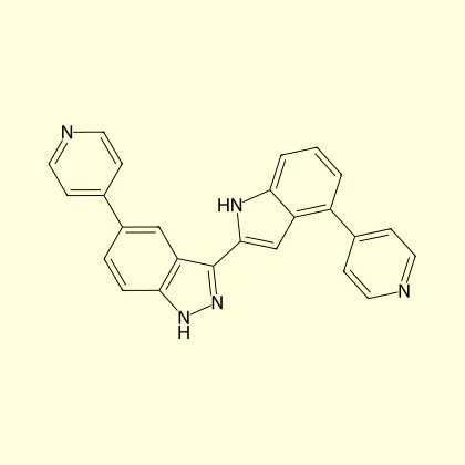 c1cc(-c2ccncc2)c2cc(-c3n[nH]c4ccc(-c5ccncc5)cc34)[nH]c2c1